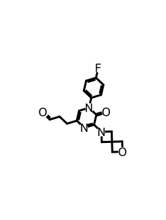 O=CCCc1cn(-c2ccc(F)cc2)c(=O)c(N2CC3(COC3)C2)n1